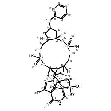 CC(C)[Si](O)(O[Si](O[C@H]1[C@H]2OP(=O)(S)OC[C@H]3C[C@@H](Oc4ccncn4)C[C@@H]3OP(=O)(S)OC[C@@H]1O[C@H]2n1cc(F)c2c(=O)[nH]cnc21)(C(C)C)C(C)C)C(C)C